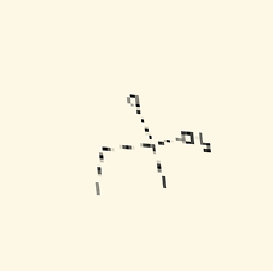 CC([O])(I)CI